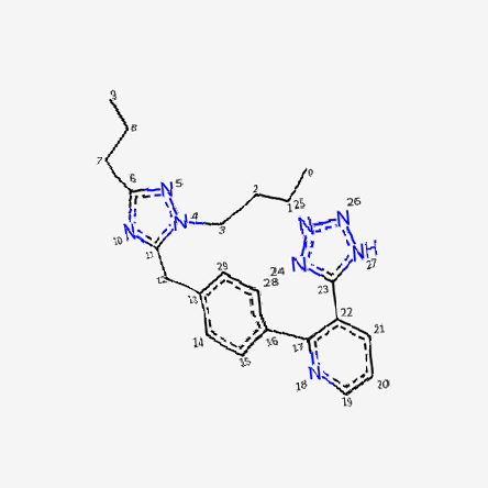 CCCCn1nc(CCC)nc1Cc1ccc(-c2ncccc2-c2nnn[nH]2)cc1